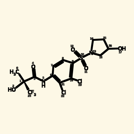 C[C@@](O)(C(=O)Nc1ccc(S(=O)(=O)N2CCC(O)C2)c(Cl)c1Cl)C(F)(F)F